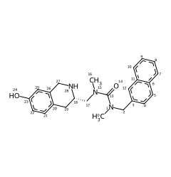 CN(Cc1ccc2ccccc2c1)C(=O)N(C)C[C@@H]1Cc2ccc(O)cc2CN1